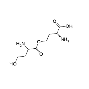 NC(CCO)C(=O)OCC[C@H](N)C(=O)O